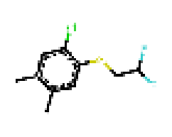 Cc1cc(Cl)c(SCC(F)F)cc1C